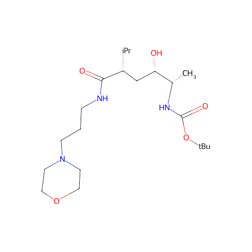 CC(C)[C@H](C[C@H](O)[C@H](C)NC(=O)OC(C)(C)C)C(=O)NCCCN1CCOCC1